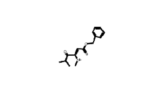 CN/C(=C\C(=O)OCc1ccccc1)C(=O)C(C)C